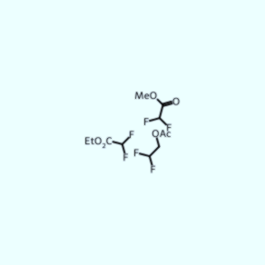 CC(=O)OCC(F)F.CCOC(=O)C(F)F.COC(=O)C(F)F